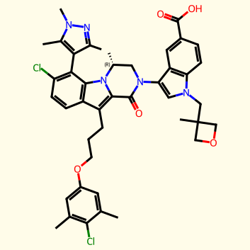 Cc1cc(OCCCc2c3n(c4c(-c5c(C)nn(C)c5C)c(Cl)ccc24)[C@H](C)CN(c2cn(CC4(C)COC4)c4ccc(C(=O)O)cc24)C3=O)cc(C)c1Cl